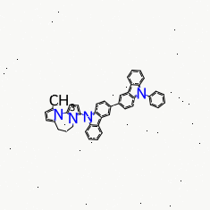 Cc1ccc2n1-c1ccc(-n3c4ccccc4c4cc(-c5ccc6c(c5)c5ccccc5n6-c5ccccc5)ccc43)n1CCC2